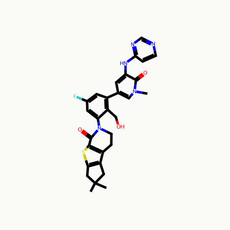 Cn1cc(-c2cc(F)cc(N3CCc4c(sc5c4CC(C)(C)C5)C3=O)c2CO)cc(Nc2ccncn2)c1=O